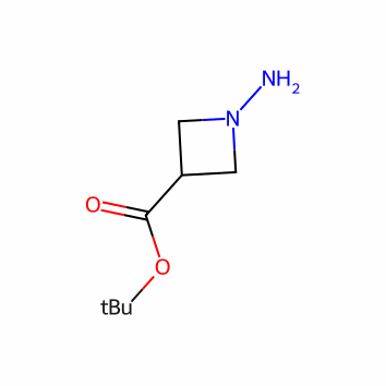 CC(C)(C)OC(=O)C1CN(N)C1